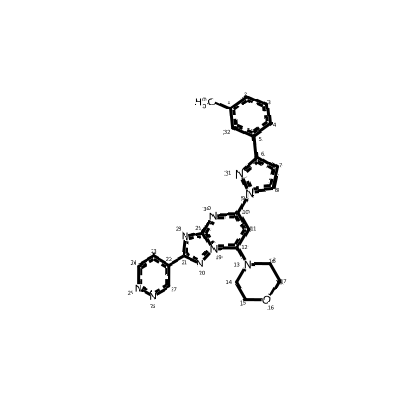 Cc1cccc(-c2ccn(-c3cc(N4CCOCC4)n4nc(-c5ccnnc5)nc4n3)n2)c1